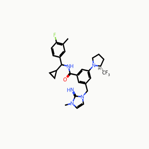 Cc1cc(C(NC(=O)c2cc(Cn3ccn(C)c3=N)cc(N3CCC[C@@H]3C(F)(F)F)c2)C2CC2)ccc1F